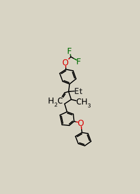 C=CC(CC)(c1ccc(OC(F)F)cc1)C(C)Cc1cccc(Oc2ccccc2)c1